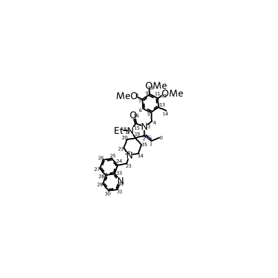 C/C=C1\N(Cc2cc(OC)c(OC)c(OC)c2C)C(=O)N(CC)C12CCN(Cc1cccc3cccnc13)CC2